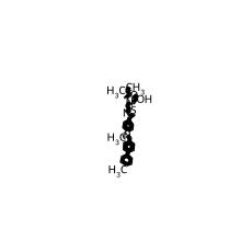 CC(C)CCN(CC(=O)O)Cc1nc(-c2ccc(N(C)Cc3ccc(C4CCC(C)CC4)cc3)cc2)cs1